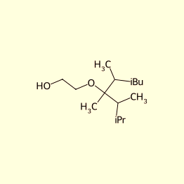 CCC(C)C(C)C(C)(OCCO)C(C)C(C)C